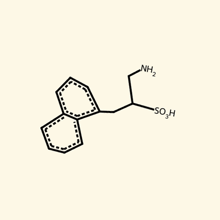 NCC(Cc1cccc2ccccc12)S(=O)(=O)O